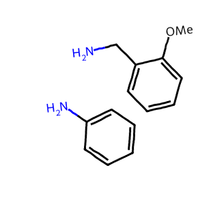 COc1ccccc1CN.Nc1ccccc1